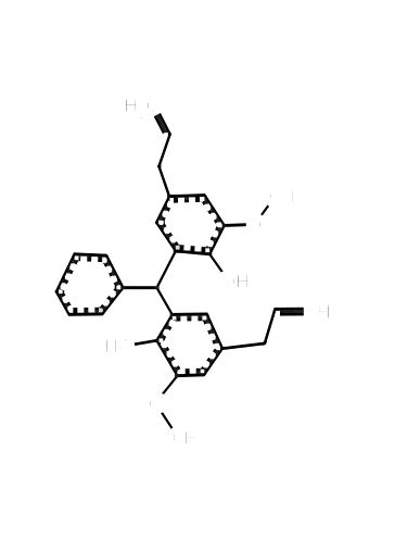 C=CCc1cc(OC)c(O)c(C(c2ccccc2)c2cc(CC=C)cc(OC)c2O)c1